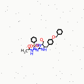 CC(=O)NN(N=C1NC(C=O)C(Cc2ccc(OCc3ccccc3)cc2)N1)S(=O)(=O)c1ccccc1